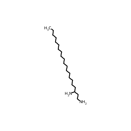 CCCCCCCCCCCCCCCCCCC(N)CCN